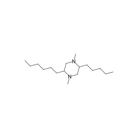 CCCCCCC1CN(C)C(CCCCC)CN1C